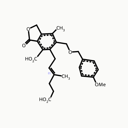 COc1ccc(COCc2c(C)c3c(c(C(=O)O)c2C/C=C(\C)CCC(=O)O)C(=O)OC3)cc1